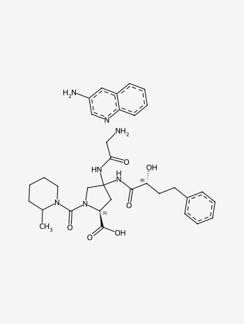 CC1CCCCN1C(=O)N1CC(NC(=O)CN)(NC(=O)[C@H](O)CCc2ccccc2)C[C@H]1C(=O)O.Nc1cnc2ccccc2c1